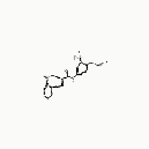 O=C(Nc1ccc(CO)c(C(F)(F)F)c1)C1CNc2ccccc2C1